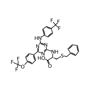 O=C(O)[C@H](CSCc1ccccc1)Nc1nc(Nc2ccc(C(F)(F)F)cc2)nc(-c2ccc(OC(F)(F)F)cc2)n1